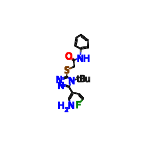 CC(C)(C)n1c(SCC(=O)Nc2ccccc2)nnc1C(/C=C\F)=C/N